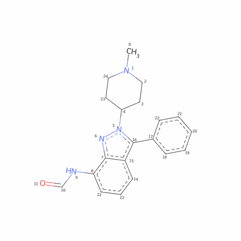 CN1CCC(n2nc3c(NC=O)cccc3c2-c2ccccc2)CC1